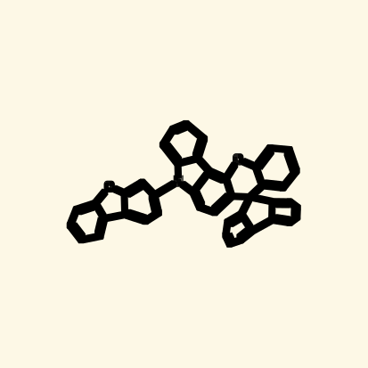 c1ccc2c(c1)Oc1c(ccc3c1c1ccccc1n3-c1ccc3c(c1)oc1ccccc13)C21c2ccccc2-c2ccccc21